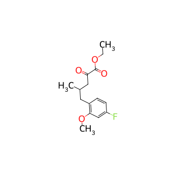 CCOC(=O)C(=O)CC(C)Cc1ccc(F)cc1OC